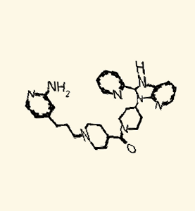 Nc1cc(CCCN2CCC(C(=O)N3CCC(N4c5ncccc5NC4c4ccccn4)CC3)CC2)ccn1